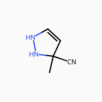 CC1(C#N)C=CNN1